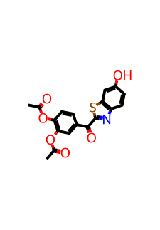 CC(=O)Oc1ccc(C(=O)c2nc3ccc(O)cc3s2)cc1OC(C)=O